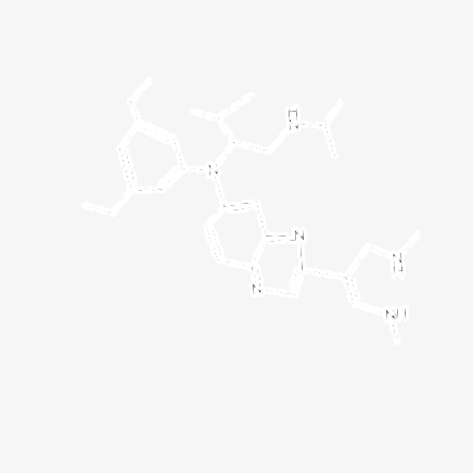 CCc1cc(CC)cc(N(c2ccc3ncc(/C(=C/NC)CNC)nc3c2)C(CNC(C)C)C(C)C)c1